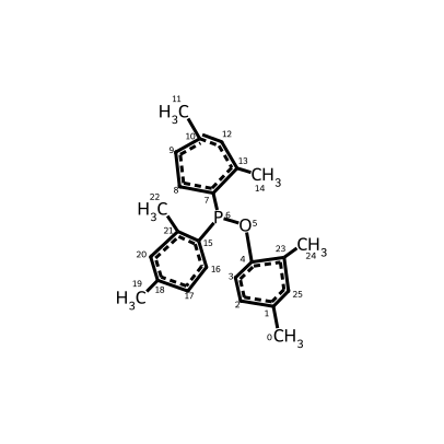 Cc1ccc(OP(c2ccc(C)cc2C)c2ccc(C)cc2C)c(C)c1